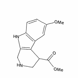 COC(=O)C1CNCc2[nH]c3ccc(OC)cc3c21